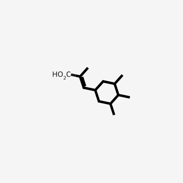 CC(=CC1CC(C)C(C)C(C)C1)C(=O)O